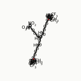 CC1(C)O[C@@H]2[C@@H](NC(=O)C(F)(F)F)[C@H]3OC[C@](COCCOCCOCCOCCNC(=O)CCOCC(COCCC(=O)NCCOCCOCCOCCOC[C@@]45CO[C@@H](O4)[C@H](NC(=O)C(F)(F)F)[C@H]4OC(C)(C)O[C@H]45)NC(=O)COCCOCCOCCNc4ccc([N+](=O)[O-])cc4[N+](=O)[O-])(O3)[C@@H]2O1